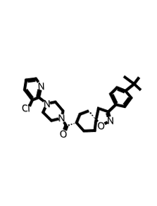 CC(C)(C)c1ccc(C2=NO[C@]3(CC[C@@H](C(=O)N4CCN(c5ncccc5Cl)CC4)CC3)C2)cc1